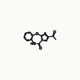 CC(=O)c1cc2c(s1)Oc1ccccc1NC2=O